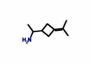 CC(C)=C1CC(C(C)N)C1